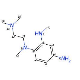 CNc1cc(N)ccc1N(C)CCN(C)C